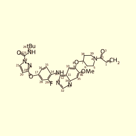 C=CC(=O)N1CCC(Oc2cc3c(Nc4ccc(Oc5ccn(C(=O)NC(C)(C)C)n5)cc4F)ncnc3cc2OC)CC1